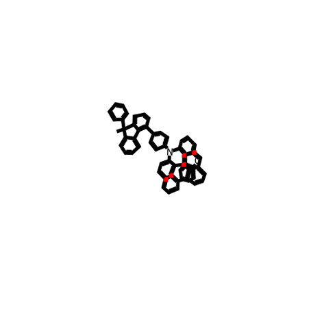 CC1(c2ccccc2)c2ccccc2-c2c(-c3ccc(N(c4ccccc4-c4cccc5cccc(-c6ccccc6)c45)c4cccc5oc6ccccc6c45)cc3)cccc21